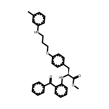 COC(=O)[C@H](Cc1ccc(OCCCNc2cccc(C)c2)cc1)Nc1ccccc1C(=O)c1ccccc1